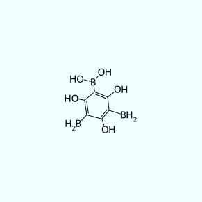 Bc1c(O)c(B)c(O)c(B(O)O)c1O